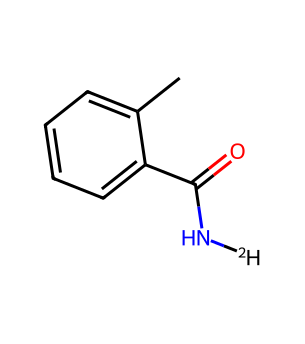 [2H]NC(=O)c1ccccc1C